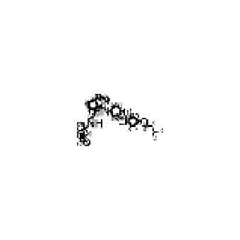 CC(C)CCOc1cccc(Oc2ccc(Nc3ncnc4ccn(CCNC(=O)CS(C)(=O)=O)c34)cc2Cl)c1